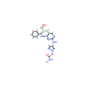 CNC(=O)Cn1cc(Nc2ncc(Cl)c(NC(CCO)c3ccccc3)n2)cn1